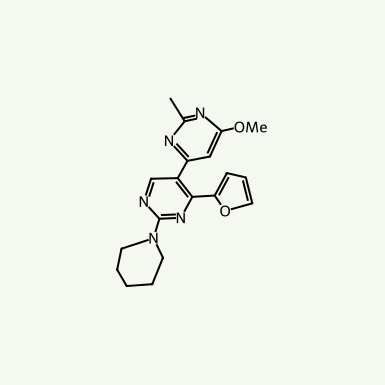 COc1cc(-c2cnc(N3CCCCC3)nc2-c2ccco2)nc(C)n1